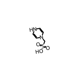 O=S(=O)(O)CN1C=CNC=C1